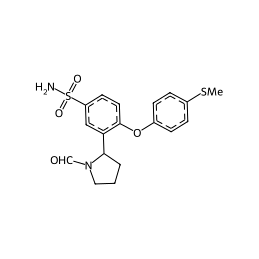 CSc1ccc(Oc2ccc(S(N)(=O)=O)cc2C2CCCN2C=O)cc1